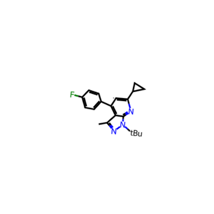 Cc1nn(C(C)(C)C)c2nc(C3CC3)[c]c(-c3ccc(F)cc3)c12